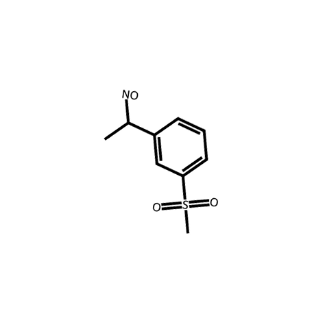 CC(N=O)c1cccc(S(C)(=O)=O)c1